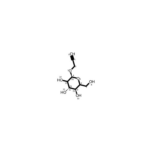 C#CCO[C@H]1OC(CO)[C@@H](O)[C@H](O)C1O